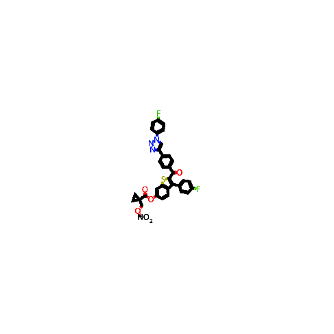 O=C(c1ccc(-c2cn(-c3ccc(F)cc3)nn2)cc1)c1sc2cc(OC(=O)C3(CO[N+](=O)[O-])CC3)ccc2c1-c1ccc(F)cc1